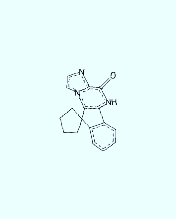 O=c1[nH]c2c(n3ccnc13)C1(CCCC1)c1ccccc1-2